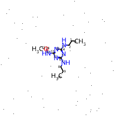 CCCNc1nc(NCCC)nc(NOC)n1